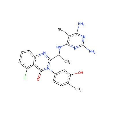 Cc1ccc(-n2c(C(C)Nc3nc(N)nc(N)c3C#N)nc3cccc(Cl)c3c2=O)cc1O